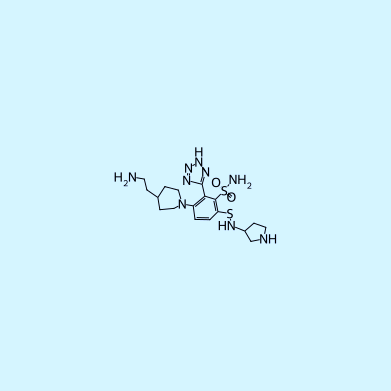 NCCC1CCN(c2ccc(SNC3CCNC3)c(S(N)(=O)=O)c2-c2nn[nH]n2)CC1